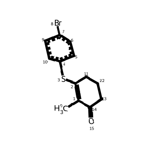 CC1=C(Sc2ccc(Br)cc2)CCCC1=O